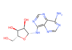 Nc1ncnc2c(N[C@@H]3O[C@H](CO)[C@@H](O)[C@H]3O)ncnc12